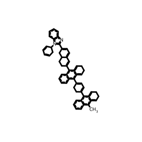 Cc1c2c(c(C3=CC=C(c4c5c(c(C6=CC7=CC=C(c8nc9ccccc9n8C8C=CC=CC8)CC7CC6)c6ccccc46)=CCCC=5)CC3)c3ccccc13)=CCCC=2